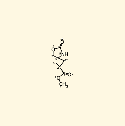 COC(=O)[C@H]1C[C@@]2(COC(=O)N2)C1